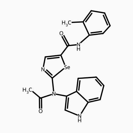 CC(=O)N(c1ncc(C(=O)Nc2ccccc2C)[se]1)c1c[nH]c2ccccc12